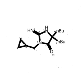 CCCCC1(CCCC)NC(=N)N(CC2CC2)C1=O